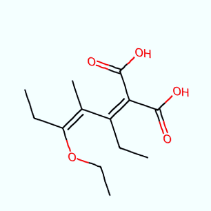 CCOC(CC)=C(C)C(CC)=C(C(=O)O)C(=O)O